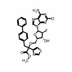 COC(=O)C(Cc1ccc(-c2ccccc2)cc1)(OC[C@H]1O[C@@H](n2cnc3c(N)nc(Cl)nc32)[C@@H](F)[C@@H]1O)c1cscn1